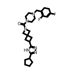 O=C(N1CCN(CC2=C(F)C=C(F)CC2)CC1)N1CC2(CC(c3nnc(C4CCCC4)[nH]3)C2)C1